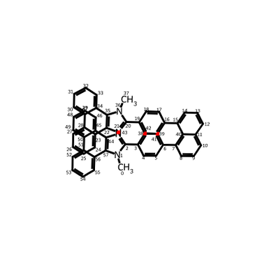 Cn1c(-c2ccc(-c3cccc4cccc(-c5ccc(-c6nc7c8ccccc8c8ccccc8c7n6C)cc5)c34)cc2)nc2c3ccccc3c3ccccc3c21